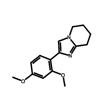 COc1ccc(-c2cn3c(n2)CCCC3)c(OC)c1